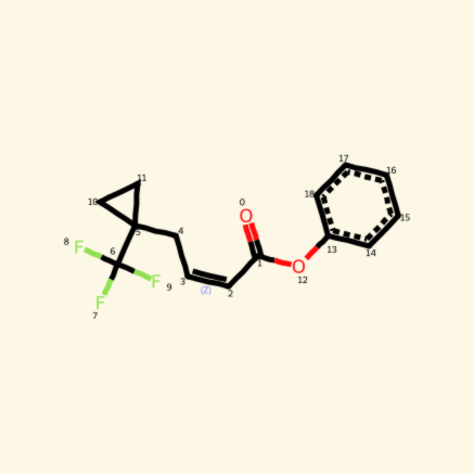 O=C(/C=C\CC1(C(F)(F)F)CC1)Oc1ccccc1